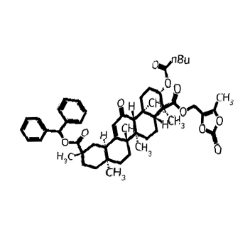 CCCCC(=O)O[C@H]1CC[C@@]2(C)[C@@H](CC[C@]3(C)[C@@H]2C(=O)C=C2[C@@H]4C[C@@](C)(C(=O)OC(c5ccccc5)c5ccccc5)CC[C@]4(C)CC[C@]23C)[C@]1(C)C(=O)OCc1oc(=O)oc1C